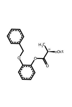 CCCCCCCC[C@H](C)C(=O)Oc1ccccc1OCc1ccccc1